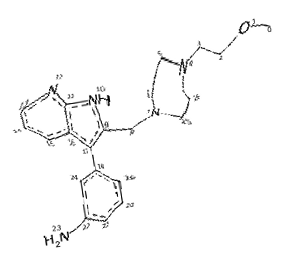 COCCN1CCN(Cc2[nH]c3ncccc3c2-c2cccc(N)c2)CC1